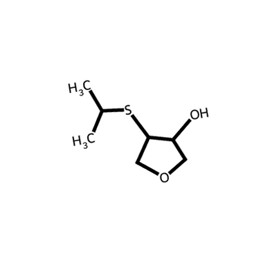 CC(C)SC1COCC1O